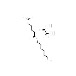 C=C(C)C(=O)O.O=C(O)CCCCC(=O)OCCCCCCO